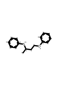 [CH2]C(CCOc1ccccc1)Sc1ccccc1